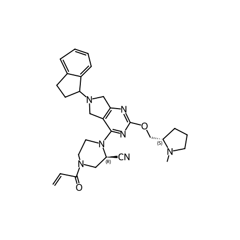 C=CC(=O)N1CCN(c2nc(OC[C@@H]3CCCN3C)nc3c2CN(C2CCc4ccccc42)C3)[C@@H](C#N)C1